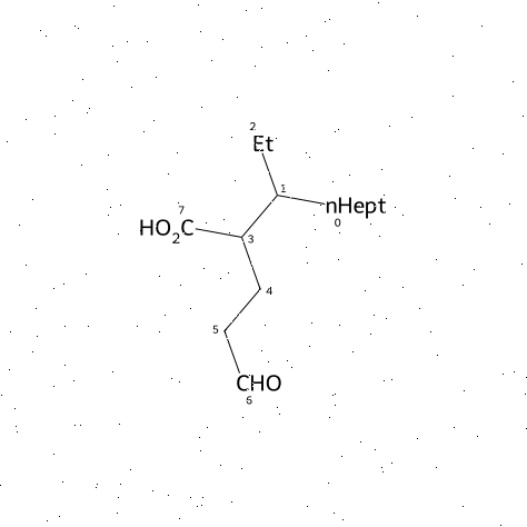 CCCCCCCC(CC)C(CCC=O)C(=O)O